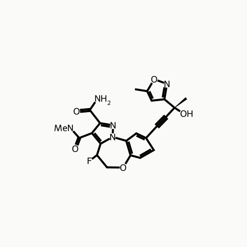 CNC(=O)c1c(C(N)=O)nn2c1C(F)COc1ccc(C#C[C@@](C)(O)c3cc(C)on3)cc1-2